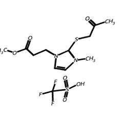 COC(=O)CCN1C=CN(C)C1SCC(C)=O.O=S(=O)(O)C(F)(F)F